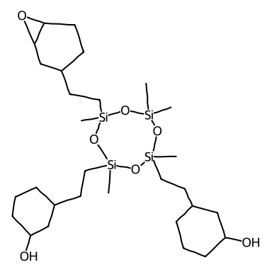 C[Si]1(C)O[Si](C)(CCC2CCCC(O)C2)O[Si](C)(CCC2CCCC(O)C2)O[Si](C)(CCC2CCC3OC3C2)O1